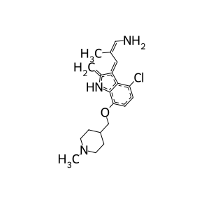 C=c1[nH]c2c(OCC3CCN(C)CC3)ccc(Cl)c2/c1=C/C(C)=C\N